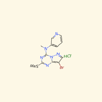 CSc1nc(N(C)c2cccnc2)n2ncc(Br)c2n1.Cl